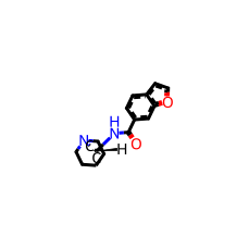 O=C(N[C@@H]1CC2CCN(CC2)C1)c1ccc2ccoc2c1